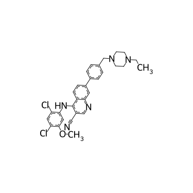 CCN1CCN(Cc2ccc(-c3ccc4c(Nc5cc(OC)c(Cl)cc5Cl)c(C#N)cnc4c3)cc2)CC1